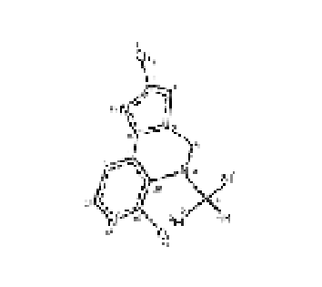 [2H]C([2H])([2H])N1Cc2cn(C)nc2-c2ccnc(Cl)c21